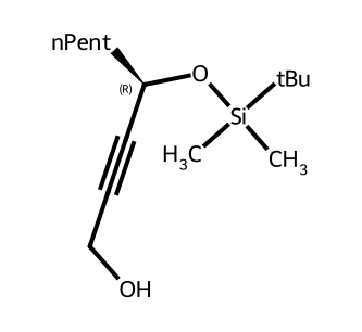 CCCCC[C@H](C#CCO)O[Si](C)(C)C(C)(C)C